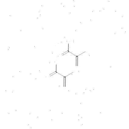 C=C(C)C(=O)O.C=C(C)C(=O)O.[Fe]